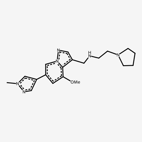 COc1cc(-c2cnn(C)c2)cn2ncc(CNCCN3CCCC3)c12